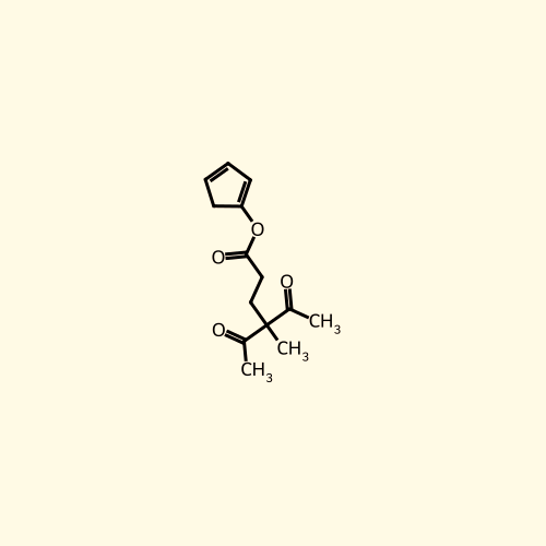 CC(=O)C(C)(CCC(=O)OC1=CC=CC1)C(C)=O